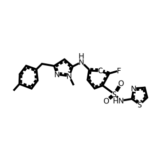 Cc1ccc(Cc2cc(Nc3ccc(S(=O)(=O)Nc4nccs4)c(F)c3)n(C)n2)cc1